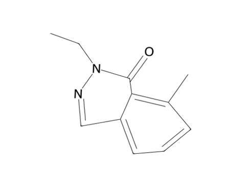 CCn1ncc2cccc(C)c2c1=O